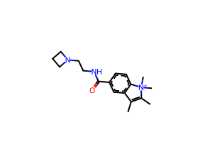 CC1=C(C)[N+](C)(C)c2ccc(C(=O)NCCN3CCC3)cc21